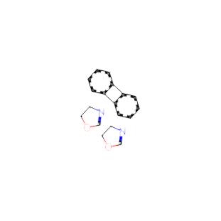 C1=NCCO1.C1=NCCO1.c1ccc2c(c1)-c1ccccc1-2